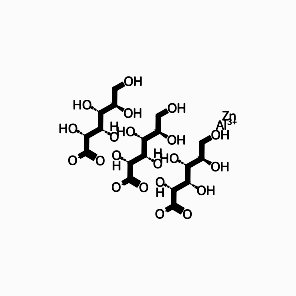 O=C([O-])[C@H](O)[C@@H](O)[C@H](O)[C@H](O)CO.O=C([O-])[C@H](O)[C@@H](O)[C@H](O)[C@H](O)CO.O=C([O-])[C@H](O)[C@@H](O)[C@H](O)[C@H](O)CO.[Al+3].[Zn]